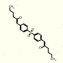 CCCCC(Cl)=Cc1ccc(S(=O)(=O)c2ccc(C=C(Cl)CCCC)cc2)cc1